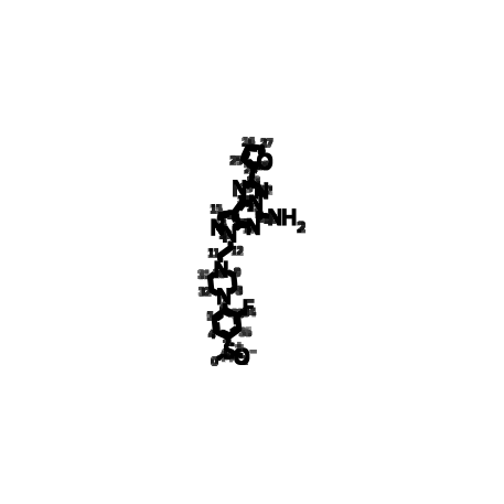 C[S@+]([O-])c1ccc(N2CCN(CCn3ncc4c3nc(N)n3nc(-c5ccco5)nc43)CC2)c(F)c1